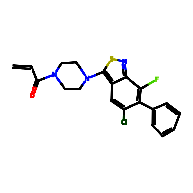 C=CC(=O)N1CCN(c2snc3c(F)c(-c4ccccc4)c(Cl)cc23)CC1